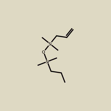 C=CC[Si](C)(C)O[Si](C)(C)CCC